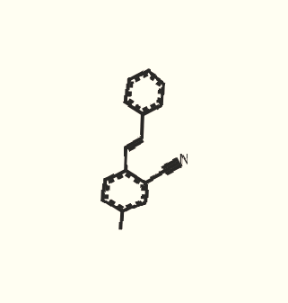 Cc1ccc(/C=C/c2ccccc2)c(C#N)c1